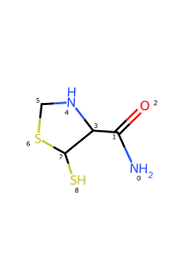 NC(=O)C1NCSC1S